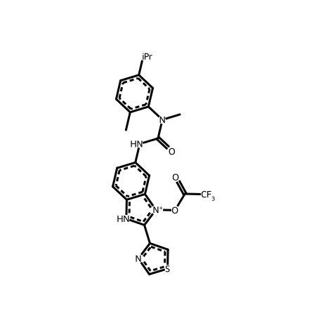 Cc1ccc(C(C)C)cc1N(C)C(=O)Nc1ccc2[nH]c(-c3cscn3)[n+](OC(=O)C(F)(F)F)c2c1